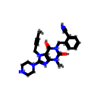 CC#CCn1c(N2CCNCC2)nc2c1c(=O)n(Cc1ccccc1C#N)c(=O)n2C